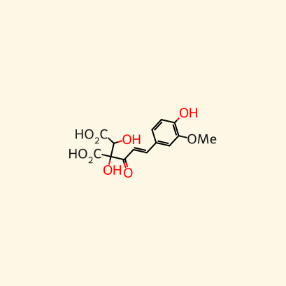 COc1cc(C=CC(=O)C(O)(C(=O)O)C(O)C(=O)O)ccc1O